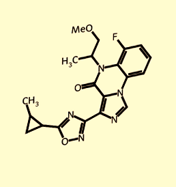 COCC(C)n1c(=O)c2c(-c3noc(C4CC4C)n3)ncn2c2cccc(F)c21